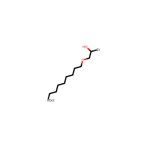 CCCCCCCCCCCCCCCCOCC(O)CC